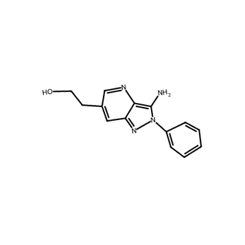 Nc1c2ncc(CCO)cc2nn1-c1ccccc1